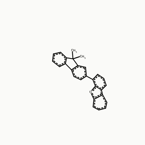 CC1(C)c2ccccc2-c2ccc(-c3cccc4c3oc3ccccc34)cc21